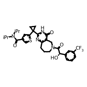 CC(C)N(C(=O)c1csc(C2(c3nc4c(c(=O)[nH]3)CN(C(=O)[C@H](O)c3cccc(C(F)(F)F)c3)CCC4)CC2)c1)C(C)C